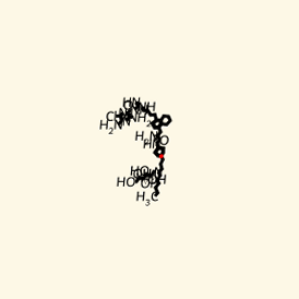 CCCCCCN(CCCc1ccc(NC(=O)[C@@H](N)Cc2ccc(CCCCNC(=N)NC(=O)c3nc(Cl)c(N)nc3N)c3c2CCCC3)cc1)C[C@H](O)[C@@H](O)[C@H](O)[C@H](O)CO